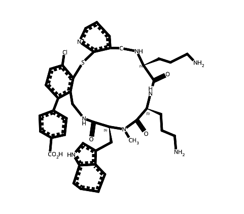 CN1C(=O)[C@H](CCCN)NC(=O)[C@H](CCCN)NCc2cccnc2Sc2c(Cl)ccc(-c3ccc(C(=O)O)cc3)c2CNC(=O)[C@@H]1Cc1c[nH]c2ccccc12